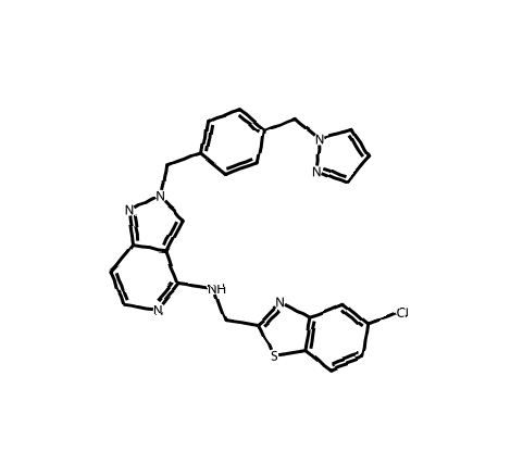 Clc1ccc2sc(CNc3nccc4nn(Cc5ccc(Cn6cccn6)cc5)cc34)nc2c1